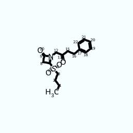 CCCCS(=O)(=O)C1CC(=O)N1CC(=O)CCc1ccccc1